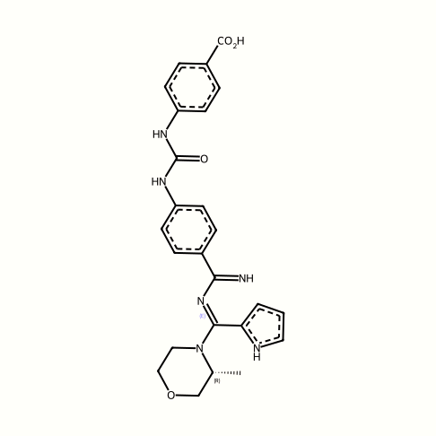 C[C@@H]1COCCN1/C(=N/C(=N)c1ccc(NC(=O)Nc2ccc(C(=O)O)cc2)cc1)c1ccc[nH]1